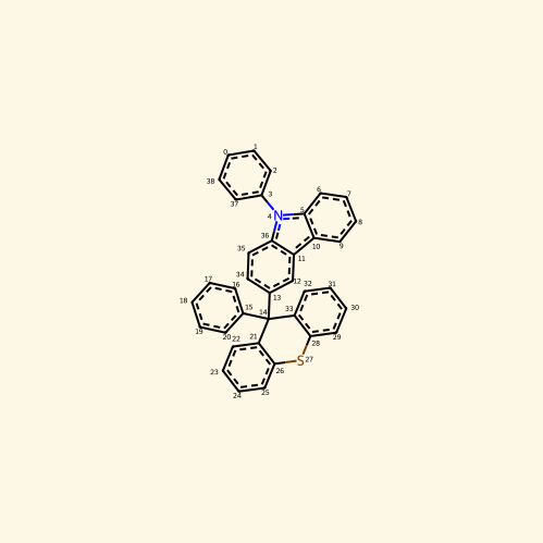 c1ccc(-n2c3ccccc3c3cc(C4(c5ccccc5)c5ccccc5Sc5ccccc54)ccc32)cc1